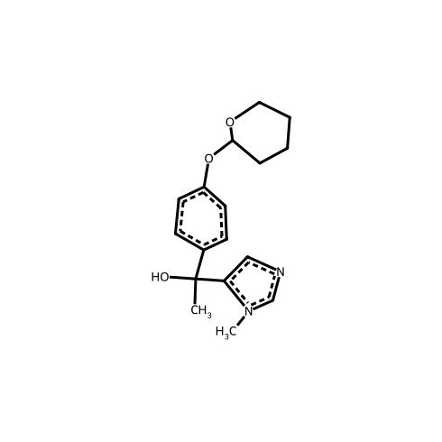 Cn1cncc1C(C)(O)c1ccc(OC2CCCCO2)cc1